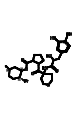 CC(C)[C@@H]1CC[C@@H](C)C[C@H]1OC(=O)C1CCCN1C(=O)C1(NC(=O)C(O)Cc2ccc(O)c(O)c2)CCSCC1